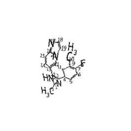 Cc1nc(-c2ccc(F)c(C)c2)c(-c2ccc3nccn3c2)[nH]1